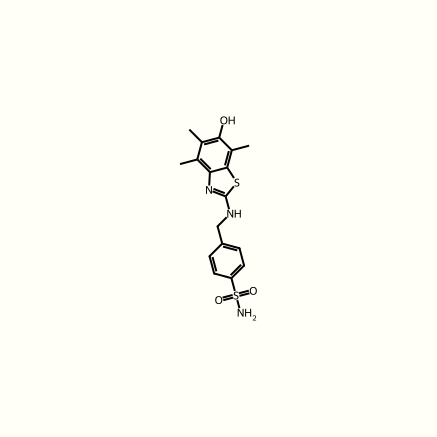 Cc1c(O)c(C)c2sc(NCc3ccc(S(N)(=O)=O)cc3)nc2c1C